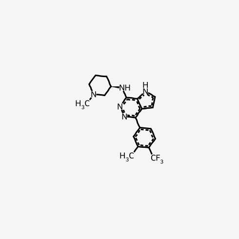 Cc1cc(-c2nnc(N[C@@H]3CCCN(C)C3)c3[nH]ccc23)ccc1C(F)(F)F